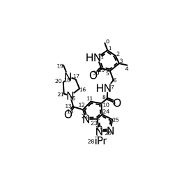 Cc1cc(C)c(CNC(=O)c2cc(C(=O)N3CCN(C)CC3)nc3c2cnn3C(C)C)c(=O)[nH]1